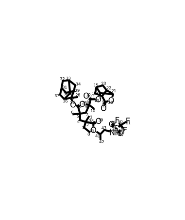 CCC(C)(CC(C)(CC(C)(C)C(=O)OC1C2CC3C(=O)OC1C3C2)C(=O)OC1(C)C2CC3CC(C2)CC1C3)C(=O)OC(C)CNS(=O)(=O)C(F)(F)F